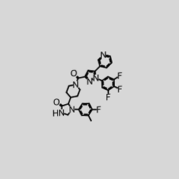 Cc1cc(N2CNC(=O)C2C2CCN(C(=O)c3cc(-c4cccnc4)n(-c4cc(F)c(F)c(F)c4)n3)CC2)ccc1F